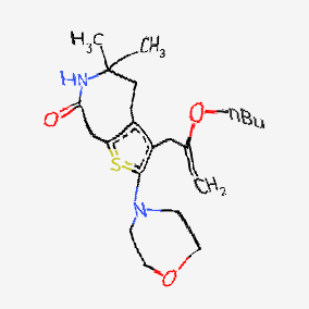 C=C(OCCCC)c1c(N2CCOCC2)sc2c1CC(C)(C)NC2=O